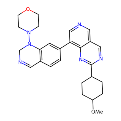 COC1CCC(c2ncc3cncc(-c4ccc5c(c4)N(N4CCOCC4)CN=C5)c3n2)CC1